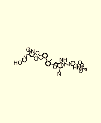 COc1nc(O[C@H]2CCc3c(-c4cccc(-c5cc6c(=N)n(CCN7CC[C@@H](C(=O)NS(=O)(=O)C8CC8)C7)cc(C#N)c6o5)c4C)cccc32)c(Cl)cc1CN1CC[C@@H](O)C1